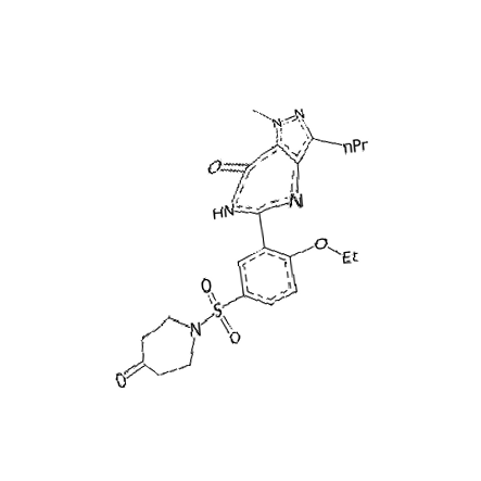 CCCc1nn(C)c2c(=O)[nH]c(-c3cc(S(=O)(=O)N4CCC(=O)CC4)ccc3OCC)nc12